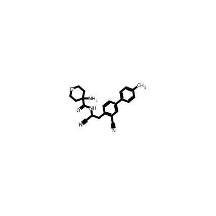 Cc1ccc(-c2ccc(CC(C#N)NC(=O)C3(N)CCOCC3)c(C#N)c2)cc1